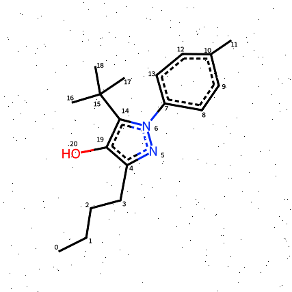 CCCCc1nn(-c2ccc(C)cc2)c(C(C)(C)C)c1O